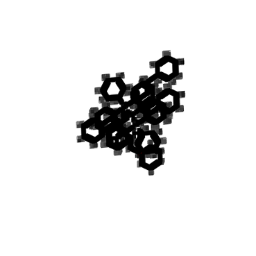 O=C(C=Cc1ccccc1)[C](=Cc1ccccc1)[Pt]([C](=Cc1ccccc1)C(=O)C=Cc1ccccc1)([PH](c1ccccc1)(c1ccccc1)c1ccccc1)[PH](c1ccccc1)(c1ccccc1)c1ccccc1